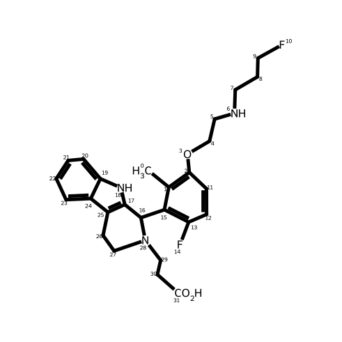 Cc1c(OCCNCCCF)ccc(F)c1C1c2[nH]c3ccccc3c2CCN1CCC(=O)O